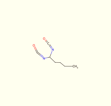 CCCC[C](N=C=O)N=C=O